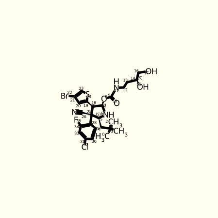 CC(C)(C)C[C@@H]1N[C@H](OC(=O)NCC[C@H](O)CO)[C@H](c2cc(Br)cs2)[C@@]1(C#N)c1ccc(Cl)cc1F